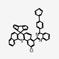 Clc1cc(-c2nc(-c3ccc(-c4ccccc4)cc3)c3ccccc3n2)c2ccc3c(c2c1)Sc1c(ccc2ccccc12)C31c2ccccc2-c2ccccc21